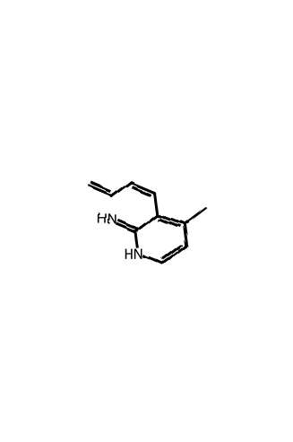 C=C/C=C\c1c(C)cc[nH]c1=N